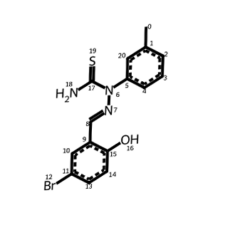 Cc1cccc(N(N=Cc2cc(Br)ccc2O)C(N)=S)c1